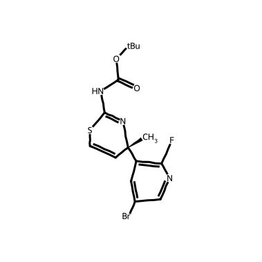 CC(C)(C)OC(=O)NC1=N[C@](C)(c2cc(Br)cnc2F)C=CS1